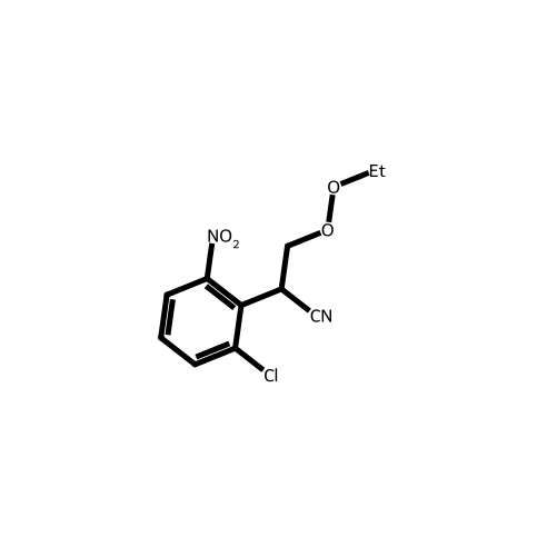 CCOOCC(C#N)c1c(Cl)cccc1[N+](=O)[O-]